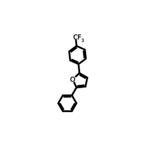 FC(F)(F)c1ccc(-c2ccc(-c3ccccc3)o2)cc1